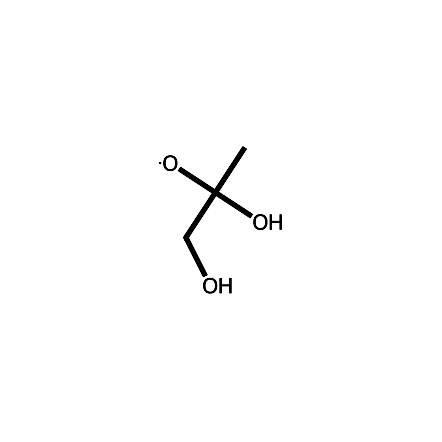 CC([O])(O)CO